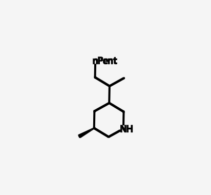 CCCCCCC(C)C1CNC[C@@H](C)C1